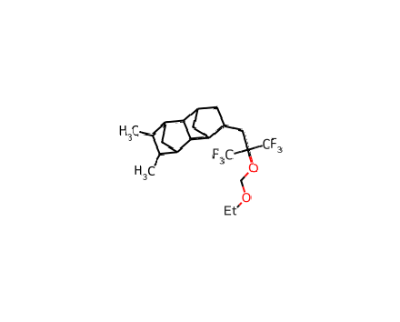 CCOCOC(CC1CC2CC1C1C3CC(C(C)C3C)C21)(C(F)(F)F)C(F)(F)F